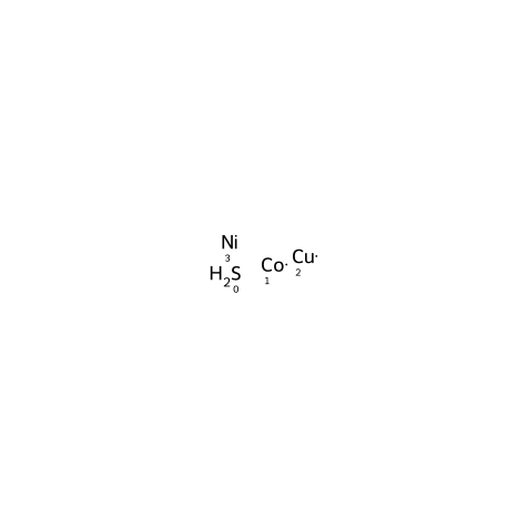 S.[Co].[Cu].[Ni]